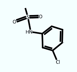 CS(=O)(=O)Nc1cc[c]c(Cl)c1